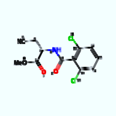 COC(=O)[C@H](CC#N)NC(=O)c1c(Cl)cccc1Cl